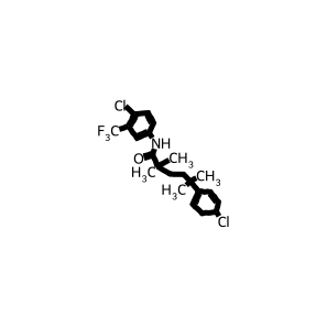 CC(C)(CCC(C)(C)C1=CCC(Cl)C=C1)C(=O)Nc1ccc(Cl)c(C(F)(F)F)c1